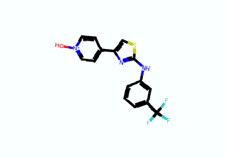 O[n+]1ccc(-c2csc(Nc3cccc(C(F)(F)F)c3)n2)cc1